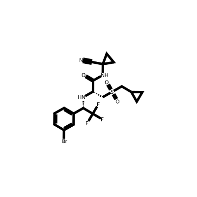 N#CC1(NC(=O)[C@H](CS(=O)(=O)CC2CC2)N[C@@H](c2cccc(Br)c2)C(F)(F)F)CC1